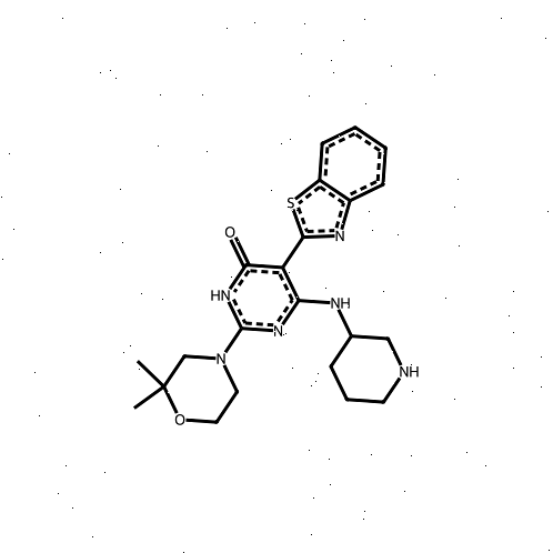 CC1(C)CN(c2nc(NC3CCCNC3)c(-c3nc4ccccc4s3)c(=O)[nH]2)CCO1